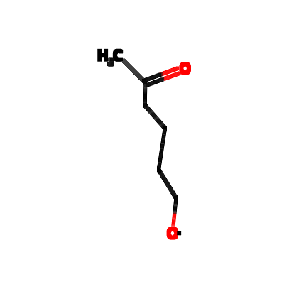 CC(=O)CCCC[O]